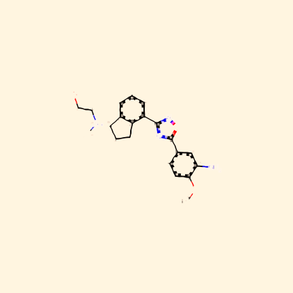 CC(C)Oc1ccc(-c2nc(-c3cccc4c3CC[C@@H]4N(C)CCO)no2)cc1N